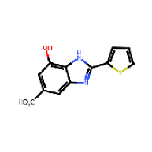 O=C(O)c1cc(O)c2[nH]c(-c3cccs3)nc2c1